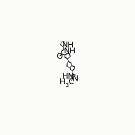 Cc1ncc(-c2ccc3cc(-c4ccc5[nH]c(C6CCCN6)cc(=O)c5c4)ccc3c2)[nH]1